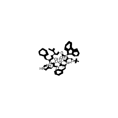 C=C[C@@H](C[C@H](O)[C@H](CC1CCCCC1)NC(=O)[C@H](Cc1c[nH]cn1)NC(=O)[C@H](Cc1ccccc1)NC(=O)[C@H](COC(C)(C)C)N(C(=O)O)C1c2ccccc2-c2ccccc21)C(C)C